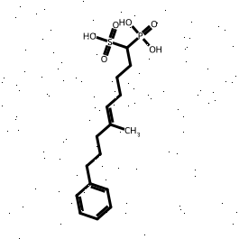 C/C(=C\CCCC(P(=O)(O)O)S(=O)(=O)O)CCCc1ccccc1